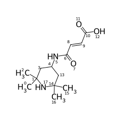 CC1(C)CC(NC(=O)/C=C/C(=O)O)CC(C)(C)N1